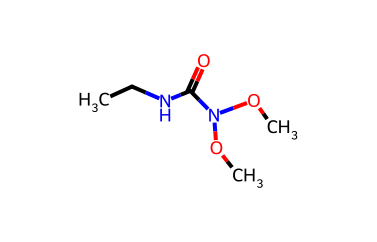 CCNC(=O)N(OC)OC